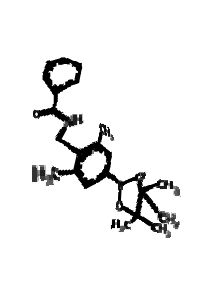 Cc1cc(B2OC(C)(C)C(C)(C)O2)cc(C)c1CNC(=O)c1ccccc1